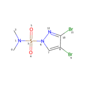 CN(C)S(=O)(=O)n1cc(Br)c(Br)n1